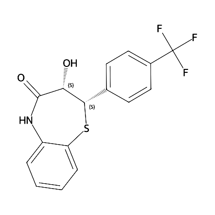 O=C1Nc2ccccc2S[C@@H](c2ccc(C(F)(F)F)cc2)[C@H]1O